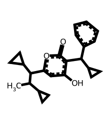 CC(C1CC1)C(c1cc(O)c(C(c2ccccc2)C2CC2)c(=O)o1)C1CC1